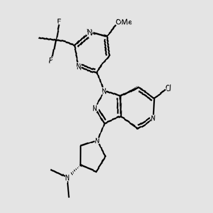 COc1cc(-n2nc(N3CC[C@H](N(C)C)C3)c3cnc(Cl)cc32)nc(C(C)(F)F)n1